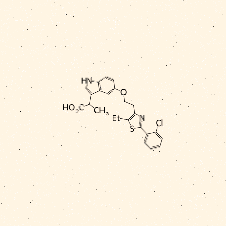 CCc1sc(-c2ccccc2Cl)nc1CCOc1ccc2[nH]cc(C(C)C(=O)O)c2c1